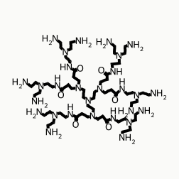 NCCN(CCN)CCNC(=O)CCN(CCC(=O)NCCN(CCN)CCN)CCN(CCN(CCC(=O)NCCN(CCN)CCN)CCC(=O)NCCN(CCN)CCN)CCN(CCC(=O)NCCN(CCN)CCN)CCC(=O)NCCN(CCN)CCN